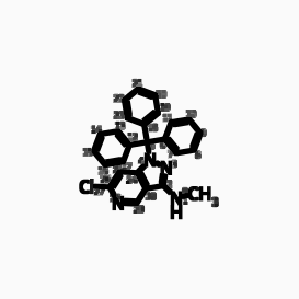 CNc1nn(C(c2ccccc2)(c2ccccc2)c2ccccc2)c2cc(Cl)ncc12